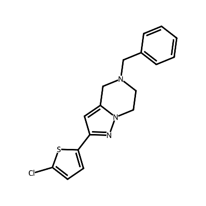 Clc1ccc(-c2cc3n(n2)CCN(Cc2ccccc2)C3)s1